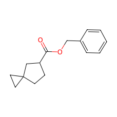 O=C(OCc1ccccc1)C1CCC2(CC2)C1